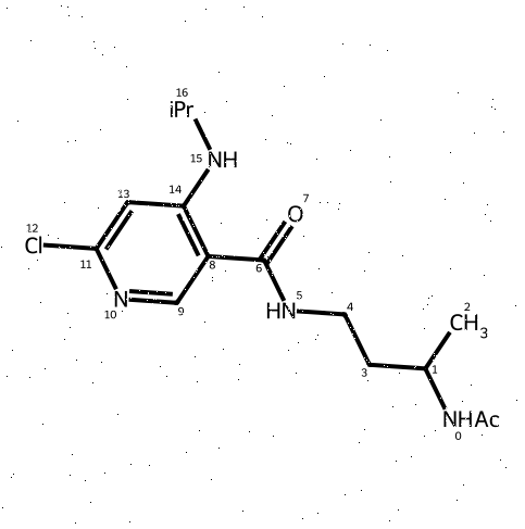 CC(=O)NC(C)CCNC(=O)c1cnc(Cl)cc1NC(C)C